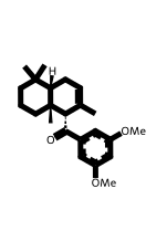 COc1cc(OC)cc(C(=O)[C@H]2C(C)=CC[C@H]3C(C)(C)CCC[C@@]23C)c1